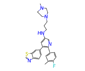 Cc1cc(-c2ncc(NCCCN3CCN(C)CC3)cc2-c2ccc3ncsc3c2)ccc1F